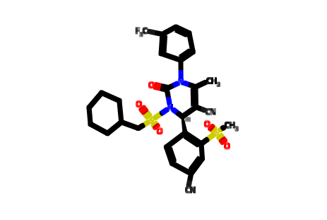 CC1=C(C#N)[C@@H](c2ccc(C#N)cc2S(C)(=O)=O)N(S(=O)(=O)CC2CCCCC2)C(=O)N1c1cccc(C(F)(F)F)c1